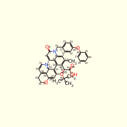 Cc1cc2c(ccc(=O)n2Cc2ccc(Oc3ccccc3)cc2)c(-c2ccc3c4c(ccnc24)CCO3)c1[C@H](OC(C)(C)C)C(=O)O